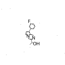 CC(O)c1cn2ccc(-c3cccc(F)c3)c2cn1